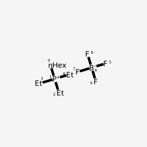 CCCCCC[P+](CC)(CC)CC.F[B-](F)(F)F